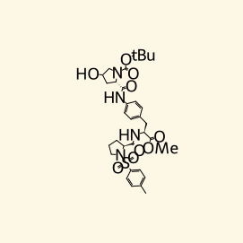 COC(=O)[C@H](Cc1ccc(NC(=O)[C@@H]2CC(O)CN2C(=O)OC(C)(C)C)cc1)NC(=O)[C@@H]1CCCN1S(=O)(=O)c1ccc(C)cc1